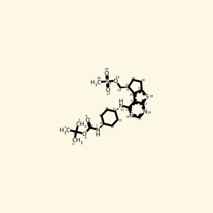 CC(C)(C)OC(=O)N[C@H]1CC[C@H](Nc2ncnc3sc4c(c23)[C@@H](COS(C)(=O)=O)CC4)CC1